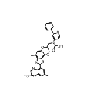 COc1cnc2c(-c3nc4c(C)cc5c(c4s3)OCC(CN(C(=O)O)c3ccnc(-c4ccccc4)c3)O5)cc(C)cc2n1